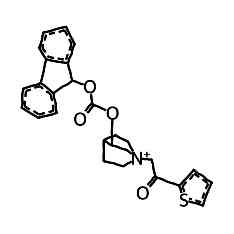 O=C(OC1c2ccccc2-c2ccccc21)OC1C[N+]2(CC(=O)c3cccs3)CCC1CC2